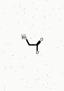 O=C([O-])CS.[Li+]